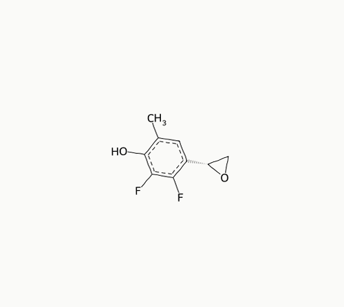 Cc1cc([C@@H]2CO2)c(F)c(F)c1O